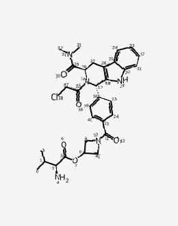 CC(C)[C@H](N)C(=O)OC1CN(C(=O)c2ccc([C@H]3c4[nH]c5ccccc5c4C[C@H](C(=O)N(C)C)N3C(=O)CCl)cc2)C1